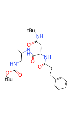 CC(CNC(=O)OC(C)(C)C)NC(=O)[C@H](CC(=O)NC(C)(C)C)NC(=O)CCc1ccccc1